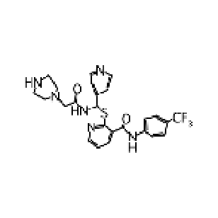 O=C(CN1CCNCC1)NC(Sc1ncccc1C(=O)Nc1ccc(C(F)(F)F)cc1)c1ccncc1